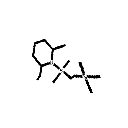 CC1CCCC(C)N1[Si](C)(C)C[Si](C)(C)C